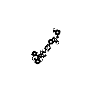 CCNC(=O)C1(CCCCN2CCN(c3ccc4c(c3)C(=O)N(Cc3cccc(F)c3)C4)CC2)c2ccccc2Oc2ccccc21